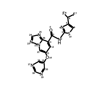 O=C(Nc1nc(C(F)F)cs1)c1cc(Oc2cncnc2)cn2ncnc12